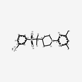 Cc1cc(C)nc(N2CCC(C(C)(C)S(=O)(=O)c3cccc(C(F)(F)F)c3)CC2)n1